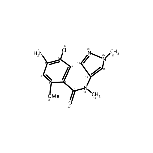 COc1cc(N)c(Cl)cc1C(=O)N(C)c1cnn(C)c1